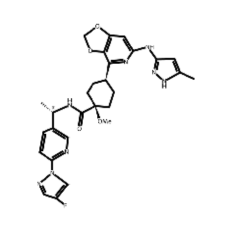 CO[C@]1(C(=O)N[C@@H](C)c2ccc(-n3cc(F)cn3)nc2)CC[C@H](c2nc(Nc3cc(C)[nH]n3)cc3c2OCO3)CC1